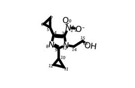 O=[N+]([O-])c1c(C2CC2)nc(C2CC2)n1CCO